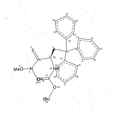 CON(C)C(=S)[C@@H](CC(c1ccccc1)(c1ccccc1)c1ccccc1)NC(=O)OC(C)(C)C